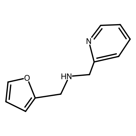 c1ccc(CNCc2ccco2)nc1